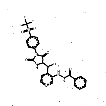 CC(c1ccncc1NNC(=O)c1ccccc1)C1NC(=O)N(c2ccc(S(=O)(=O)C(F)(F)F)cc2)C1=O